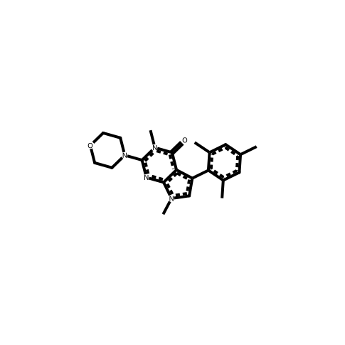 Cc1cc(C)c(-c2cn(C)c3nc(N4CCOCC4)n(C)c(=O)c23)c(C)c1